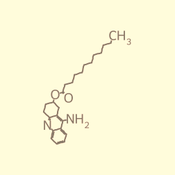 CCCCCCCCCCCC(=O)OC1CCc2nc3ccccc3c(N)c2C1